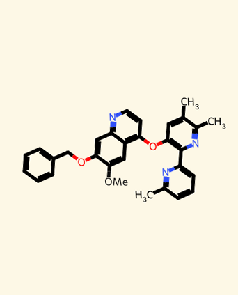 COc1cc2c(Oc3cc(C)c(C)nc3-c3cccc(C)n3)ccnc2cc1OCc1ccccc1